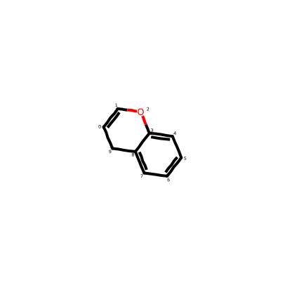 [C]1=COc2ccccc2C1